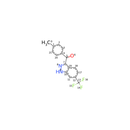 Cc1ccc(C(=O)c2n[nH]c3cc(C(F)(F)F)ccc23)cc1